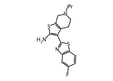 CC(C)N1CCc2c(sc(N)c2-c2nc3cc(F)ccc3s2)C1